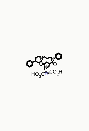 CN1CC(C(=O)N(CCCN2CCC(c3ccccc3)CC2)c2ccccc2)CC1=O.O=C(O)/C=C/C(=O)O